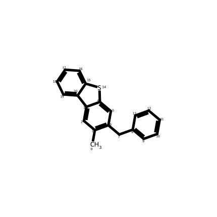 Cc1cc2c(cc1Cc1ccccc1)sc1ccccc12